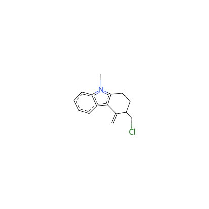 C=C1c2c(n(C)c3ccccc23)CCC1CCl